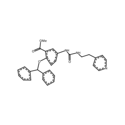 COC(=O)c1cc(NC(=O)NCCc2ccncc2)ccc1OC(c1ccccc1)c1ccccc1